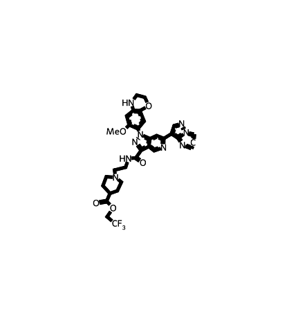 COc1cc2c(cc1-n1nc(C(=O)NCCN3CCC(C(=O)OCC(F)(F)F)CC3)c3cnc(-c4cnn5cccnc45)cc31)OCCN2